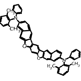 Cc1cccc(C)c1N(c1ccccc1)c1ccc2cc3c(cc2c1)oc1cc2oc4cc5cc(N(c6ccccc6)c6c(C)cccc6C)ccc5cc4c2cc13